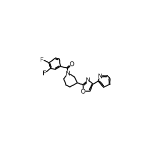 O=C(c1ccc(F)c(F)c1)N1CCCC(c2nc(-c3ccccn3)co2)C1